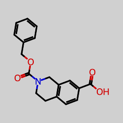 O=C(O)c1ccc2c(c1)CN(C(=O)OCc1ccccc1)CC2